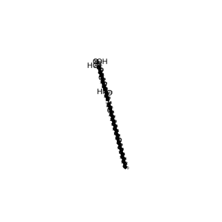 CCCCCCCCCCCCOCCCCCCCCCCCCOCCCSCCC(=O)NCCOCCOCCOCCP(=O)(O)O